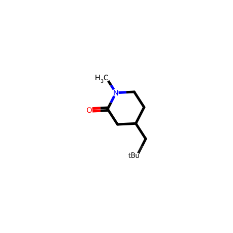 CN1CCC(CC(C)(C)C)CC1=O